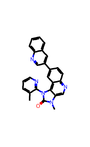 Cc1cccnc1-n1c(=O)n(C)c2cnc3ccc(-c4cnc5ccccc5c4)cc3c21